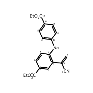 C=C(C#N)c1cc(C(=O)OCC)ccc1Sc1ccc(C(=O)OCC)cc1